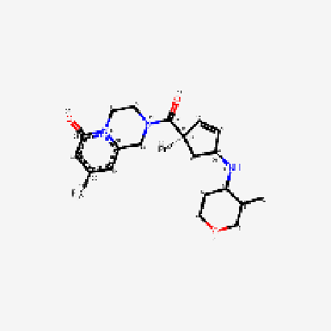 CC1COCCC1N[C@@H]1C=C[C@@](C(=O)N2CCn3c(cc(C(F)(F)F)cc3=O)C2)(C(C)C)C1